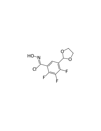 ON=C(Cl)c1cc(C2OCCO2)c(F)c(F)c1F